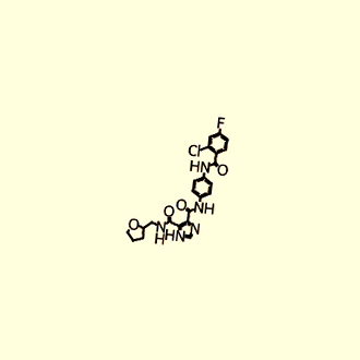 O=C(Nc1ccc(NC(=O)c2nc[nH]c2C(=O)NCC2CCCO2)cc1)c1ccc(F)cc1Cl